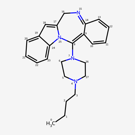 CCCCN1CCN(C2=c3ccccc3=NCc3cc4ccccc4n32)CC1